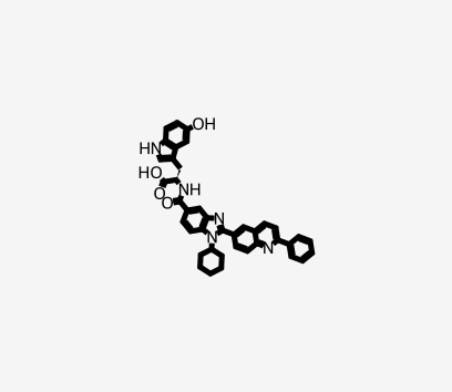 O=C(N[C@@H](Cc1c[nH]c2ccc(O)cc12)C(=O)O)c1ccc2c(c1)nc(-c1ccc3nc(-c4ccccc4)ccc3c1)n2C1CCCCC1